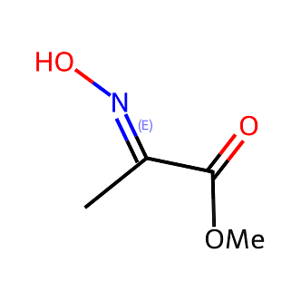 COC(=O)/C(C)=N/O